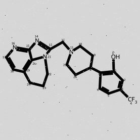 Oc1cc(C(F)(F)F)ccc1C1CCN(Cc2nc3nccc4c3n2CCC4)CC1